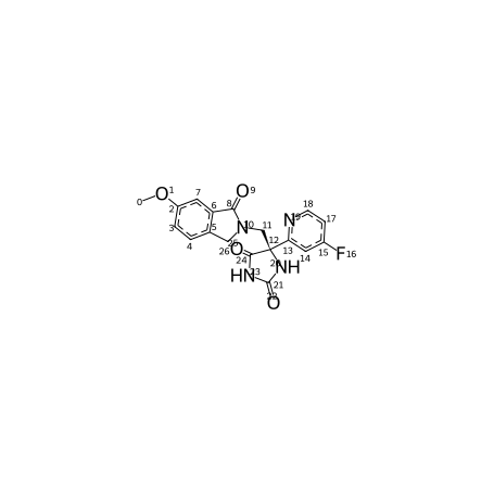 COc1ccc2c(c1)C(=O)N(C[C@@]1(c3cc(F)ccn3)NC(=O)NC1=O)C2